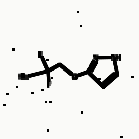 CC(C)(C)C(F)(F)COc1cc[nH]n1